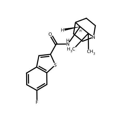 CC1(C)[C@H](NC(=O)c2cc3ccc(F)cc3s2)C2CCN1CC2